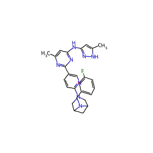 Cc1cc(Nc2cc(C)[nH]n2)nc(-c2ccc(N3CC4CC(C3)N4Cc3cccc(F)c3)nc2)n1